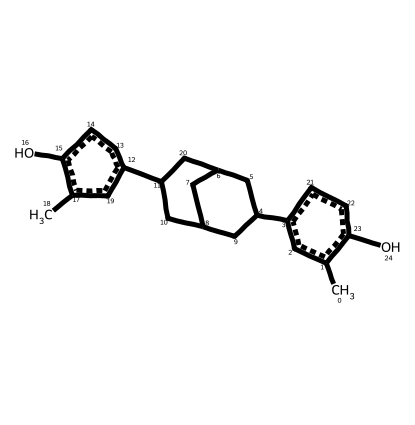 Cc1cc(C2CC3CC(C2)CC(c2ccc(O)c(C)c2)C3)ccc1O